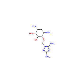 Nc1nc(N)n(CO[C@@H]2C(N)C[C@@H](N)C(O)C2O)n1